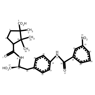 CC1(C(=O)O)CCC(C(=O)N[C@@H](Cc2ccc(NC(=O)c3cccc([N+](=O)[O-])c3)cc2)C(=O)O)C1(C)C